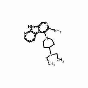 CCN(CC)C1CCN(c2c(N)ncc3[nH]c4ncccc4c23)CC1